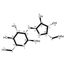 CO[C@H]1O[C@H](CO)[C@@H](O)[C@H](O)[C@@H]1O[C@@H]1O[C@@H](CSC)[C@@H](O)[C@@H]1O